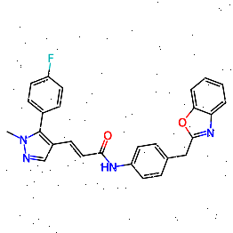 Cn1ncc(C=CC(=O)Nc2ccc(Cc3nc4ccccc4o3)cc2)c1-c1ccc(F)cc1